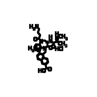 CN[C@@H](C)C(=O)N[C@H]1CN(C(=O)CCCN)c2ccccc2N(Cc2c(OC)ccc3cc(C(=O)O)ccc23)C1=O.Cl